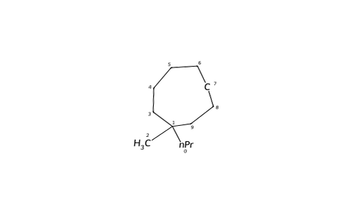 [CH2]CCC1(C)CCCCCCC1